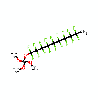 FC(F)(F)O[Si](OC(F)(F)F)(OC(F)(F)F)OC(F)(F)C(F)(F)C(F)(F)C(F)(F)C(F)(F)C(F)(F)C(F)(F)C(F)(F)C(F)(F)C(F)(F)F